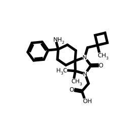 CC1(CN2C(=O)N(CC(=O)O)C(C)(C)C23CCC(N)(c2ccccc2)CC3)CCC1